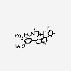 COc1cc(C(=O)O)cc(-c2ccc3ncc(-c4cc(C)cc(F)c4)c(C(=O)N(C)C[C@H](C)N)c3c2)c1